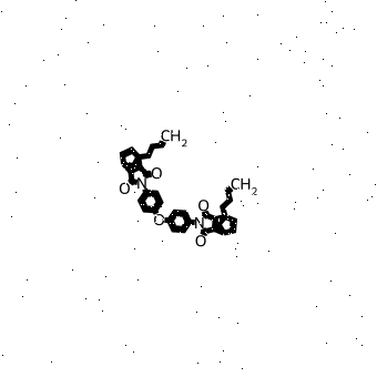 C=CCCC12C=CC(C1)C1C(=O)N(c3ccc(Oc4ccc(N5C(=O)C6C7C=CC(CCC=C)(C7)C6C5=O)cc4)cc3)C(=O)C12